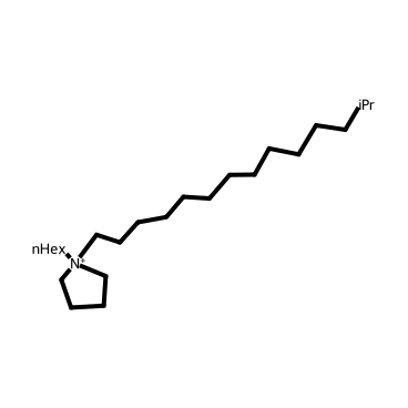 CCCCCC[N+]1(CCCCCCCCCCCCC(C)C)CCCC1